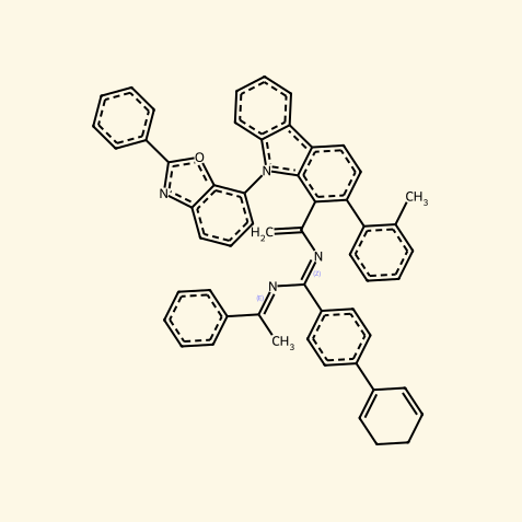 C=C(/N=C(\N=C(/C)c1ccccc1)c1ccc(C2=CCCC=C2)cc1)c1c(-c2ccccc2C)ccc2c3ccccc3n(-c3cccc4nc(-c5ccccc5)oc34)c12